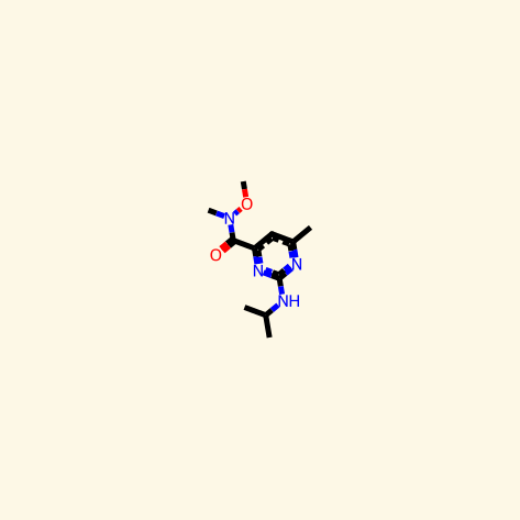 CON(C)C(=O)c1cc(C)nc(NC(C)C)n1